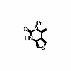 C=C1c2cscc2NC(=O)N1C(C)C